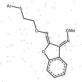 CO/N=C1\C(=N\OCCSC(C)=O)Oc2ccccc21